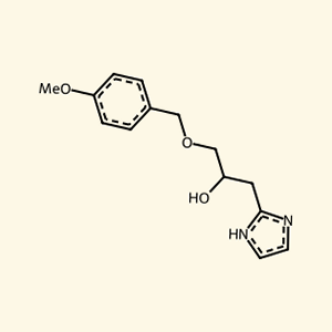 COc1ccc(COCC(O)Cc2ncc[nH]2)cc1